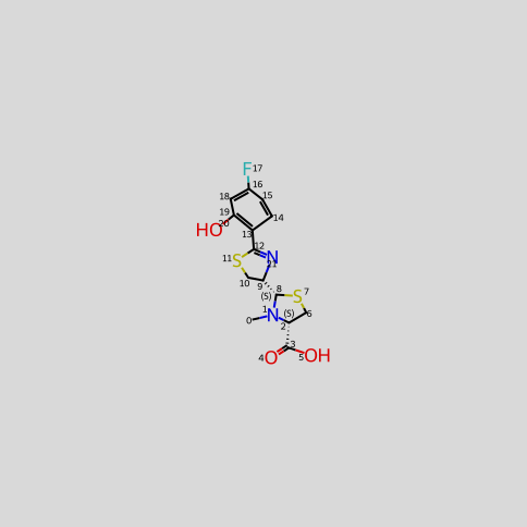 CN1[C@@H](C(=O)O)CS[C@H]1C1CSC(c2ccc(F)cc2O)=N1